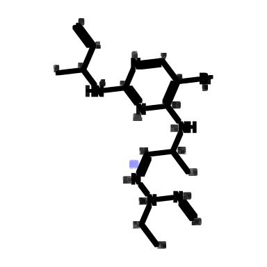 C=CC(C)Nc1ncc(Br)c(NC(C)/C=N\N(CC)N=C)n1